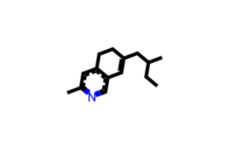 CCC(C)CC1=Cc2cnc(C)cc2CC1